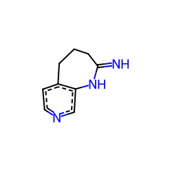 N=C1CCCc2ccncc2N1